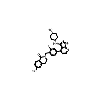 CC(C)(C)c1ccc2c(c1)CCN(Cc1ccc(-c3ccnc4[nH]nc(N[C@H]5CC[C@H](O)CC5)c34)cc1F)C2=O